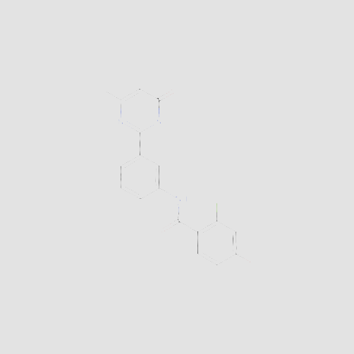 Cc1cc(=O)[nH]c(-c2cccc(NC(=O)c3ccc(O)cc3F)c2)n1